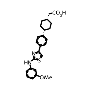 COc1cccc(Nc2nc(-c3ccc([C@H]4CC[C@@H](CC(=O)O)CC4)cc3)cs2)c1